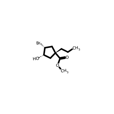 CCC[C@]1(C(=O)OC)C[C@@H](Br)[C@@H](O)C1